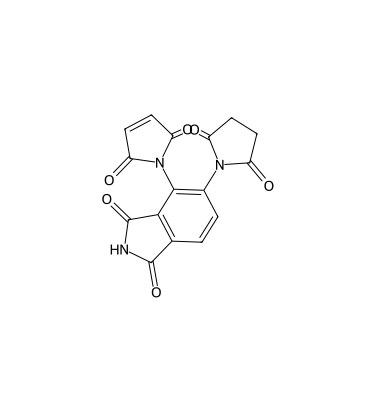 O=C1NC(=O)c2c1ccc(N1C(=O)CCC1=O)c2N1C(=O)C=CC1=O